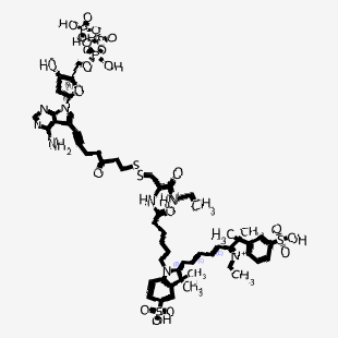 CCNC(=O)C(CSSCCC(=O)CCC#Cc1cn([C@H]2CC(O)[C@@H](COP(=O)(O)OP(=O)(O)OP(=O)(O)O)O2)c2ncnc(N)c12)NC(=O)CCCCCN1/C(=C/C=C/C=C/C2=[N+](CC)c3ccc(S(=O)(=O)O)cc3C2(C)C)C(C)(C)c2cc(S(=O)(=O)O)ccc21